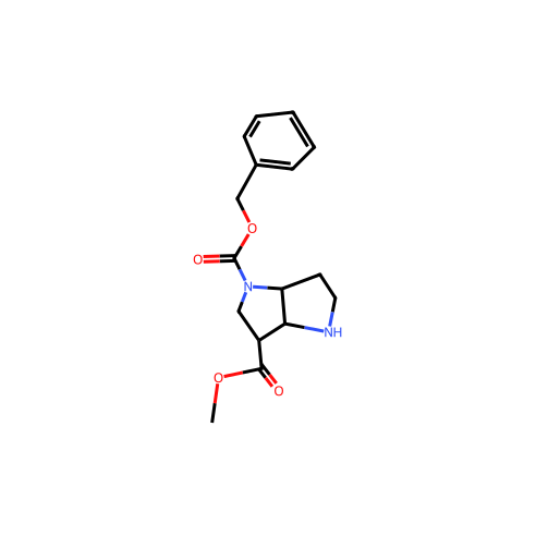 COC(=O)C1CN(C(=O)OCc2ccccc2)C2CCNC12